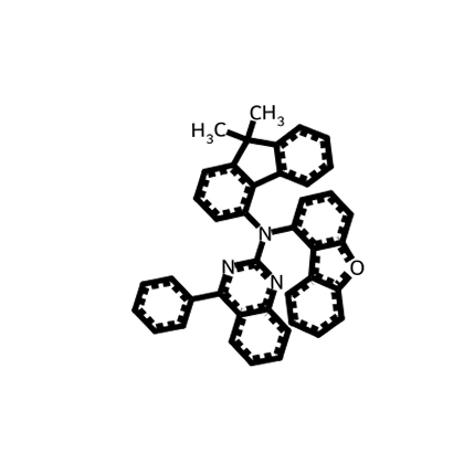 CC1(C)c2ccccc2-c2c(N(c3nc(-c4ccccc4)c4ccccc4n3)c3cccc4oc5ccccc5c34)cccc21